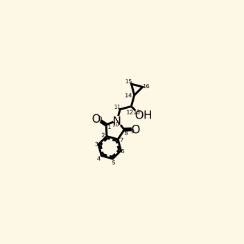 O=C1c2ccccc2C(=O)N1CC(O)C1CC1